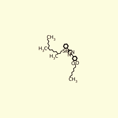 CCCCCCCC1Oc2ccc(-c3ncc(-c4ccccc4[SiH2]CCC(C)CCCCC(C)CCCCC)cn3)cc2O1